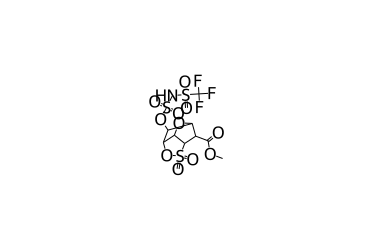 COC(=O)C1C2OC3C(OS(=O)(=O)C31)C2OS(=O)(=O)NS(=O)(=O)C(F)(F)F